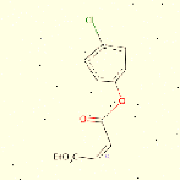 CCOC(=O)/C=C\C(=O)Oc1ccc(Cl)cc1